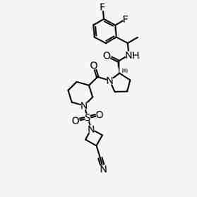 CC(NC(=O)[C@H]1CCCN1C(=O)C1CCCN(S(=O)(=O)N2CC(C#N)C2)C1)c1cccc(F)c1F